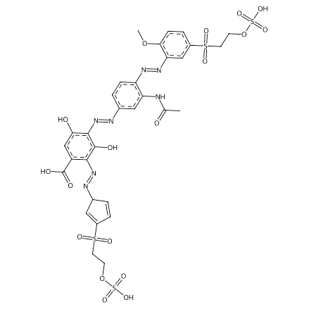 COc1ccc(S(=O)(=O)CCOS(=O)(=O)O)cc1N=Nc1ccc(N=Nc2c(O)cc(C(=O)O)c(/N=N/C3C=CC(S(=O)(=O)CCOS(=O)(=O)O)=C3)c2O)cc1NC(C)=O